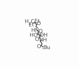 CCC(C)(CC)C(=O)CCNC(=O)[C@H](O)[C@@H](O)C(=O)NCCC(=O)C(C)(C)C